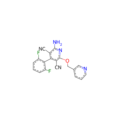 N#Cc1c(N)nc(OCc2cccnc2)c(C#N)c1-c1c(F)cccc1F